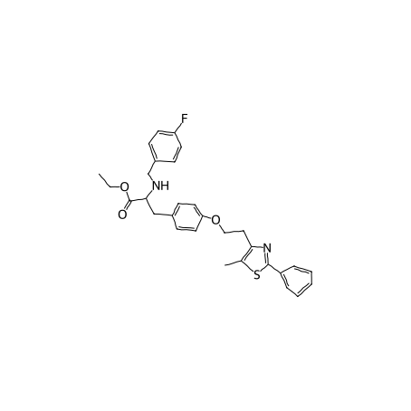 CCOC(=O)C(Cc1ccc(OCCc2nc(-c3ccccc3)sc2C)cc1)NCc1ccc(F)cc1